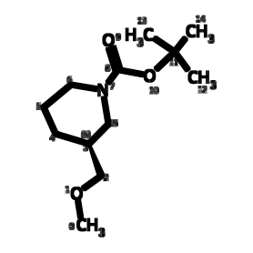 COC[C@H]1CCCN(C(=O)OC(C)(C)C)C1